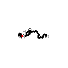 CC/C=C\C/C=C\C/C=C\C/C=C\C/C=C\CCCC(=O)N1CCC(CNC(=O)c2ccccn2)CC1